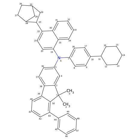 CC1(C)c2cc(N(c3ccc(C4CCCCC4)cc3)c3ccc(C4CC5CCC4C5)c4ccccc34)ccc2-c2cccc(-c3ccccc3)c21